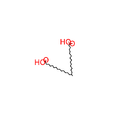 CC(CCCCCCCCCCCCCCC(=O)O)CCCCCCCCCCCCCC(=O)O